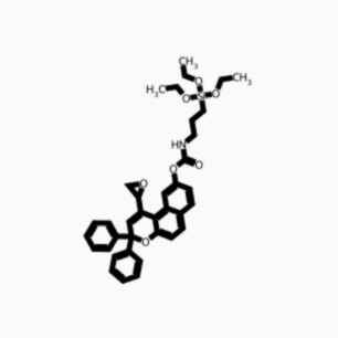 CCO[Si](CCCNC(=O)Oc1ccc2ccc3c(c2c1)C(C1CO1)=CC(c1ccccc1)(c1ccccc1)O3)(OCC)OCC